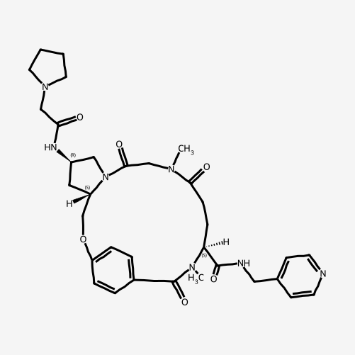 CN1CC(=O)N2C[C@H](NC(=O)CN3CCCC3)C[C@H]2COc2ccc(cc2)C(=O)N(C)[C@H](C(=O)NCc2ccncc2)CCC1=O